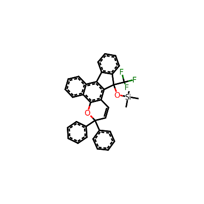 C[Si](C)(C)OC1(C(F)(F)F)c2ccccc2-c2c1c1c(c3ccccc23)OC(c2ccccc2)(c2ccccc2)C=C1